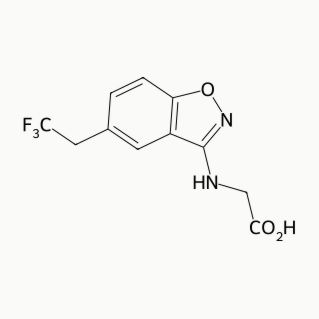 O=C(O)CNc1noc2ccc(CC(F)(F)F)cc12